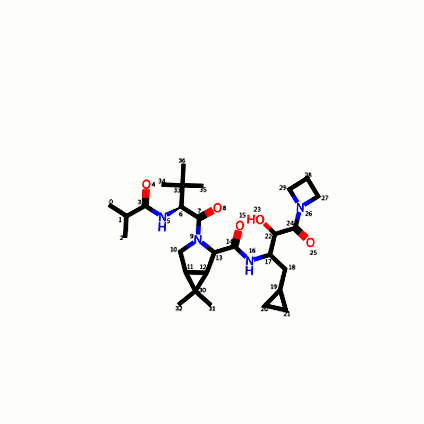 CC(C)C(=O)N[C@H](C(=O)N1CC2C(C1C(=O)NC(CC1CC1)C(O)C(=O)N1CCC1)C2(C)C)C(C)(C)C